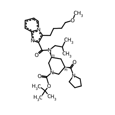 COCCCCc1c(C(=O)N(CC(C)C)[C@H]2C[C@@H](C(=O)N3CCCC3)CN(C(=O)OC(C)(C)C)C2)nc2ccccn12